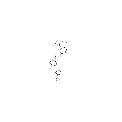 Cc1cnc(C(=O)Nc2cccc(-c3nnnn3[C@H](C)CO)n2)cc1-n1cnc(C(F)(F)F)c1